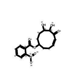 O=C(OC1CCC=CC(=O)C(O)C(O)CC1)c1ccccc1[N+](=O)[O-]